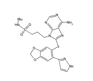 CC(C)(C)NS(=O)(=O)CCCn1c(Sc2cc3c(cc2-c2cc[nH]n2)OCO3)nc2c(N)ncnc21